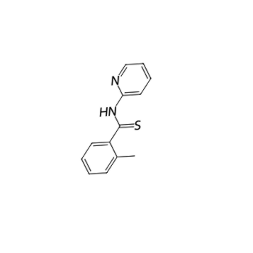 Cc1ccccc1C(=S)Nc1ccccn1